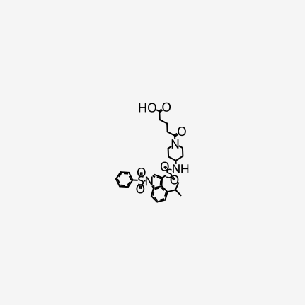 CC(C)c1cccc2c1c(S(=O)(=O)NC1CCN(C(=O)CCCC(=O)O)CC1)cn2S(=O)(=O)c1ccccc1